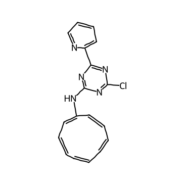 Clc1nc(Nc2ccccccccc2)nc(-c2ccccn2)n1